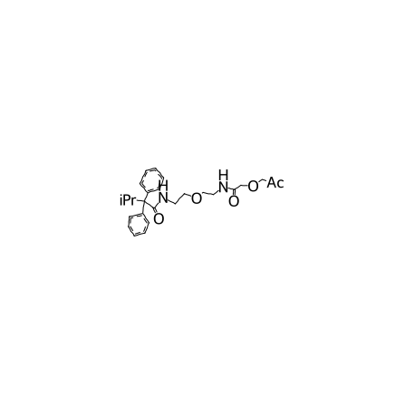 CC(=O)COCC(=O)NCCOCCNC(=O)C(c1ccccc1)(c1ccccc1)C(C)C